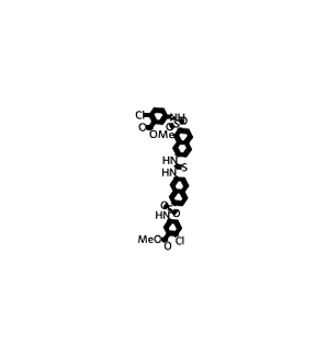 COC(=O)c1cc(NS(=O)(=O)c2ccc3ccc(NC(=S)Nc4ccc5ccc(S(=O)(=O)Nc6ccc(Cl)c(C(=O)OC)c6)cc5c4)cc3c2)ccc1Cl